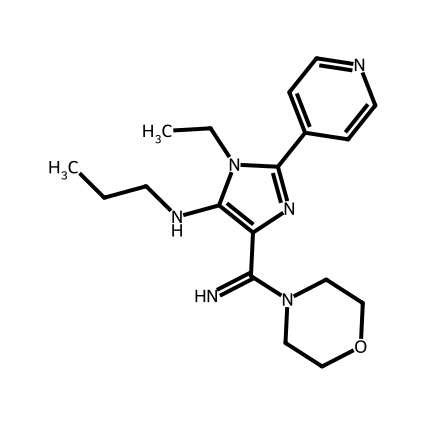 CCCNc1c(C(=N)N2CCOCC2)nc(-c2ccncc2)n1CC